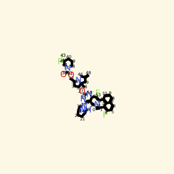 C#Cc1c(F)ccc2cccc(-c3ncc4c(N5CC6CCC(C5)N6)nc(OCC56CCC(COC(=O)N7CCCC(F)(F)C7)N5CC(=C)C6)nc4c3F)c12